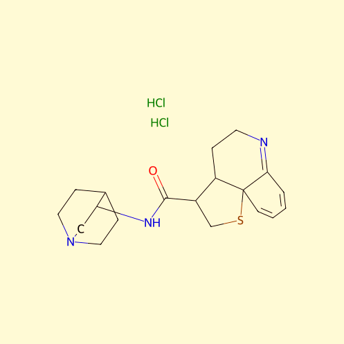 Cl.Cl.O=C(NC1CN2CCC1CC2)C1CSC23C=CC=CC2=NCCC13